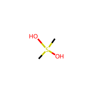 CS(C)(O)O